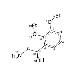 CCOc1cccc([C@@H](O)CN)c1OCC